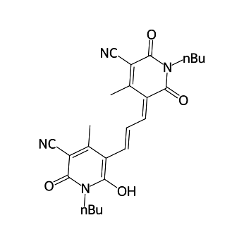 CCCCN1C(=O)C(=CC=Cc2c(C)c(C#N)c(=O)n(CCCC)c2O)C(C)=C(C#N)C1=O